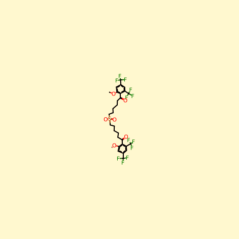 COc1cc(C(F)(F)F)cc(C(F)(F)F)c1C(=O)CCCCCS(=O)(=O)CCCCCC(=O)c1c(OC)cc(C(F)(F)F)cc1C(F)(F)F